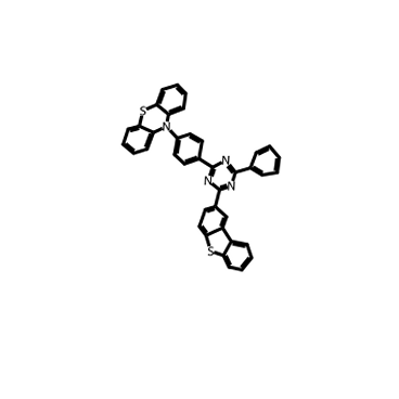 c1ccc(-c2nc(-c3ccc(N4c5ccccc5Sc5ccccc54)cc3)nc(-c3ccc4sc5ccccc5c4c3)n2)cc1